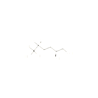 [2H]C([2H])(O)[C@]([2H])(O)[C@@H](O)[C@H](O)[C@H](O)CO